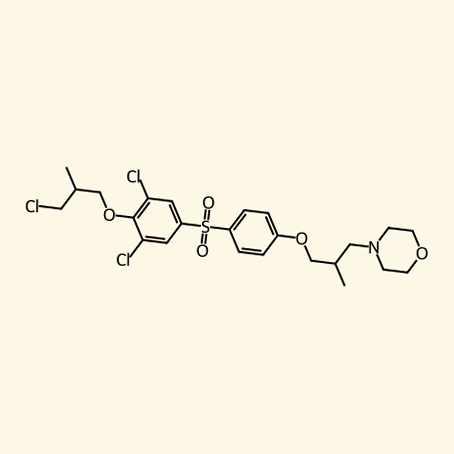 CC(CCl)COc1c(Cl)cc(S(=O)(=O)c2ccc(OCC(C)CN3CCOCC3)cc2)cc1Cl